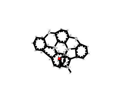 Cn1c2[n+](c3ccccc31)[N+]13c4c(cccc4-2)Oc2ccc4c(c21)-n1c2c(cccc2c2ccc[n+]3c21)O4